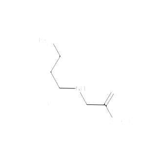 O=C(O)CC[C@H](NCC(=O)C(=O)O)C(=O)O